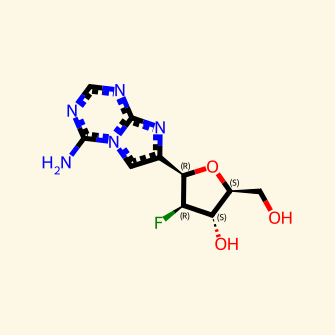 Nc1ncnc2nc([C@H]3O[C@@H](CO)[C@H](O)[C@H]3F)cn12